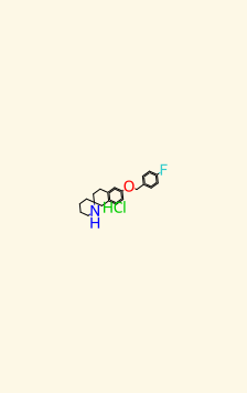 Cl.Fc1ccc(COc2ccc3c(c2)CCC2(CCCCN2)C3)cc1